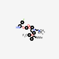 CN(C)CCCN1c2ccccc2CCc2ccccc21.CNCCC(Oc1ccc(C(F)(F)F)cc1)c1ccccc1.Fc1ccc([C@@H]2CCNC[C@H]2COc2ccc3c(c2)OCO3)cc1